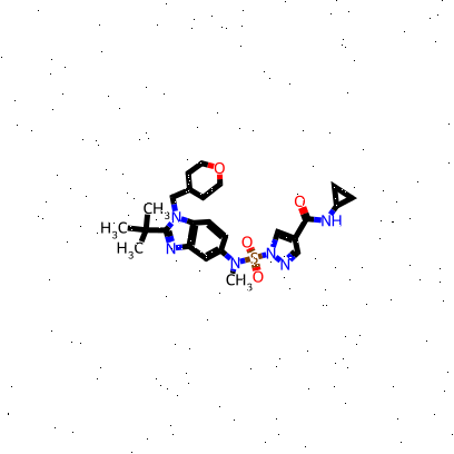 CN(c1ccc2c(c1)nc(C(C)(C)C)n2CC1CCOCC1)S(=O)(=O)n1cc(C(=O)NC2CC2)cn1